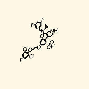 O=C(C1=C(c2ccc(OCCOc3c(Cl)cc(F)cc3Cl)cc2)CCNC1)N(Cc1cc(F)cc(F)c1)C1CC1.O=CO